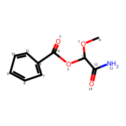 COC(OC(=O)c1ccccc1)C(N)=O